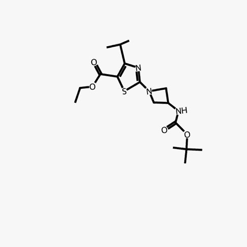 CCOC(=O)c1sc(N2CC(NC(=O)OC(C)(C)C)C2)nc1C(C)C